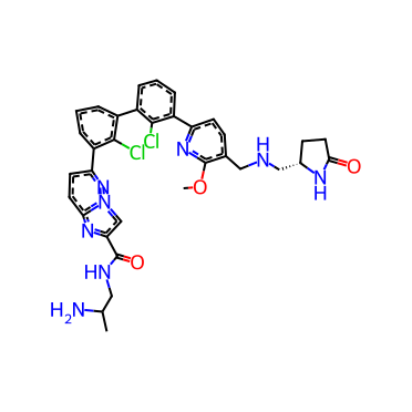 COc1nc(-c2cccc(-c3cccc(-c4ccc5nc(C(=O)NCC(C)N)cn5n4)c3Cl)c2Cl)ccc1CNC[C@@H]1CCC(=O)N1